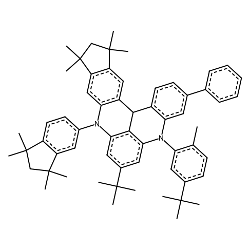 Cc1ccc(C(C)(C)C)cc1N1c2cc(-c3ccccc3)ccc2C2c3cc4c(cc3N(c3ccc5c(c3)C(C)(C)CC5(C)C)c3cc(C(C)(C)C)cc1c32)C(C)(C)CC4(C)C